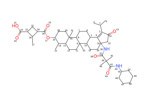 CC(C)C1=C2C3CCC4C(C)(CCC5C(C)C(OC(=O)C6CC(C(=O)O)C6C)CCC54C)C3CCC2(NC(=O)C(C)(C)C(=O)NC2CCCCC2)CC1=O